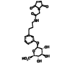 O=C(CN1C(=O)C=CC1=O)NCCCc1cccc(O[C@@H]2O[C@H](C(=O)O)[C@@H](O)[C@H](O)[C@H]2O)c1